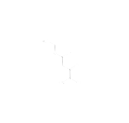 CCOC(=O)CC(=O)C(C)=N